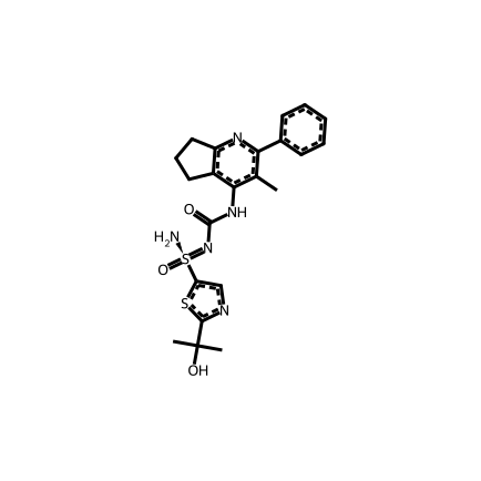 Cc1c(-c2ccccc2)nc2c(c1NC(=O)N=[S@@](N)(=O)c1cnc(C(C)(C)O)s1)CCC2